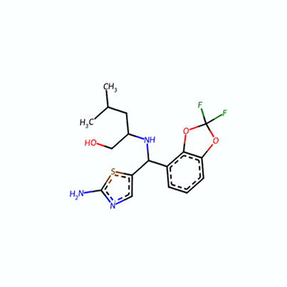 CC(C)CC(CO)NC(c1cnc(N)s1)c1cccc2c1OC(F)(F)O2